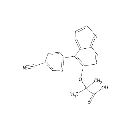 CC(C)(Oc1ccc2ncccc2c1-c1ccc(C#N)cc1)C(=O)O